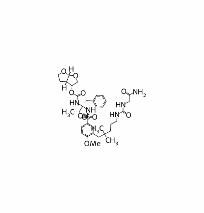 COc1ccc(S(=O)(=O)N[C@](Cc2ccccc2)(NC(=O)O[C@H]2CO[C@H]3OCC[C@H]32)[C@@H](C)O)cc1CC(C)(C)CCCNC(=O)NCC(N)=O